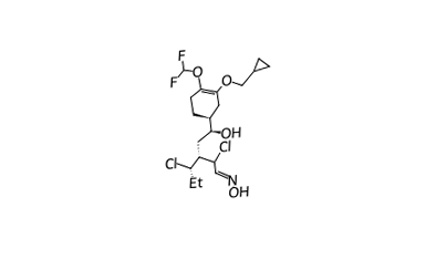 CC[C@H](Cl)[C@H](C[C@H](O)[C@H]1CCC(OC(F)F)=C(OCC2CC2)C1)C(Cl)/C=N/O